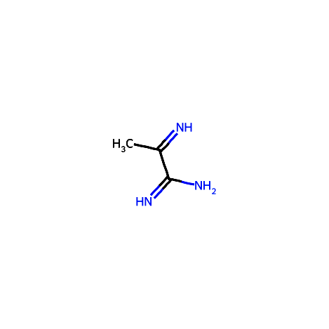 CC(=N)C(=N)N